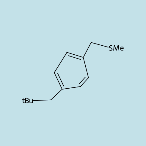 CSCc1ccc(CC(C)(C)C)cc1